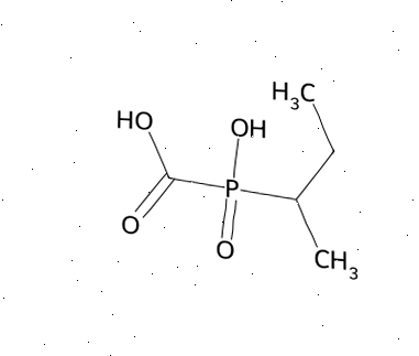 CCC(C)P(=O)(O)C(=O)O